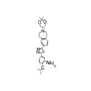 CC(C)Oc1ccc(-c2nnc(-c3ccc4c(c3)CCN(C3COC(C)(C)OC3)CC4)s2)cc1N